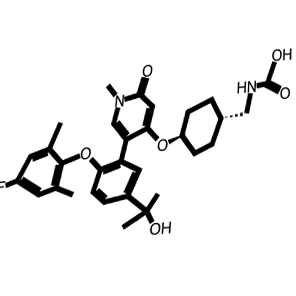 Cc1cc(F)cc(C)c1Oc1ccc(C(C)(C)O)cc1-c1cn(C)c(=O)cc1O[C@H]1CC[C@H](CNC(=O)O)CC1